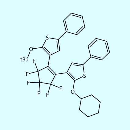 CC(C)(C)Oc1sc(-c2ccccc2)cc1C1=C(c2cc(-c3ccccc3)sc2OC2CCCCC2)C(F)(F)C(F)(F)C1(F)F